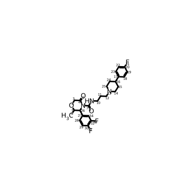 CC1OCC(=O)N(C(=O)NCCCN2CCC(c3ccc(F)cc3)CC2)C1c1ccc(F)c(F)c1